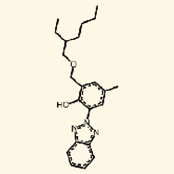 CCCCC(CC)COCc1cc(C)cc(-n2nc3ccccc3n2)c1O